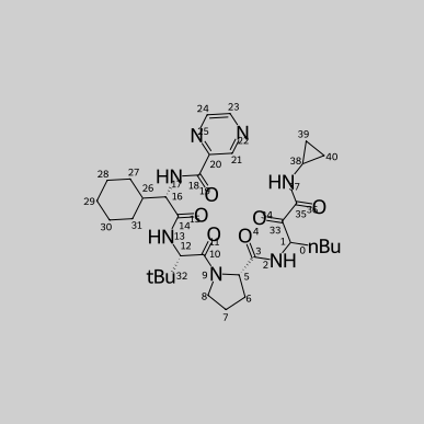 CCCCC(NC(=O)[C@@H]1CCCN1C(=O)[C@@H](NC(=O)[C@@H](NC(=O)c1cnccn1)C1CCCCC1)C(C)(C)C)C(=O)C(=O)NC1CC1